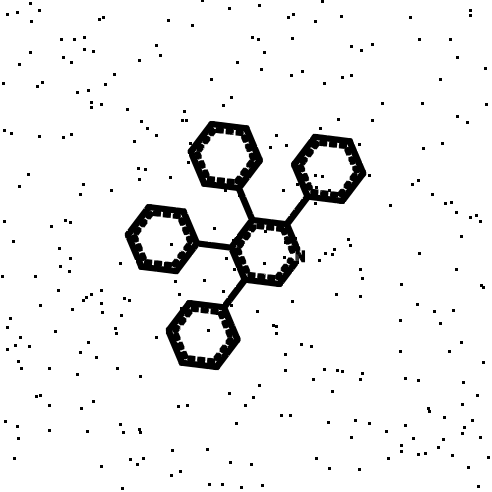 c1ccc(-c2cnc(-c3ccccc3)c(-c3ccccc3)c2-c2ccccc2)cc1